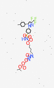 Cc1ccc(-c2cc(C(F)(F)F)nn2-c2ccc(S(=O)(=O)NC(=O)OCCCCCN(C)[N+]([O-])=NOCOC(=O)OC(C)C)cc2)cc1